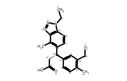 CCn1nnc2c(C)c([C@@H](CC(=O)O)c3ccc(C)c(CCl)c3)ccc21